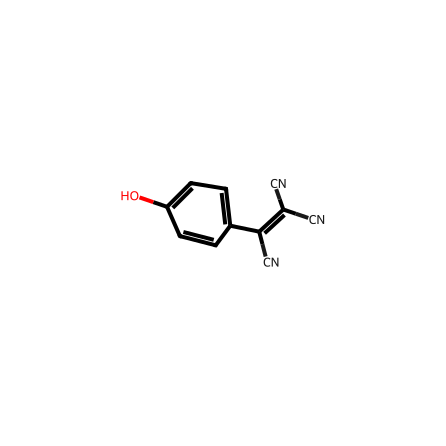 N#CC(C#N)=C(C#N)c1ccc(O)cc1